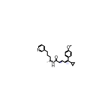 COc1ccc(/C(=C\C=C\C(=O)N[C@H](C)CCCc2cccnc2)C2CC2)cc1